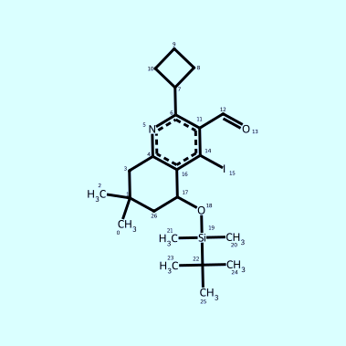 CC1(C)Cc2nc(C3CCC3)c(C=O)c(I)c2C(O[Si](C)(C)C(C)(C)C)C1